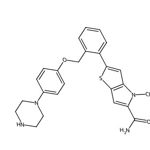 Cn1c(C(N)=O)cc2sc(-c3ccccc3COc3ccc(N4CCNCC4)cc3)cc21